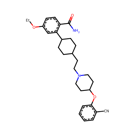 CCOc1ccc(C(N)=O)c(C2CCC(CCN3CCC(Oc4ccccc4C#N)CC3)CC2)c1